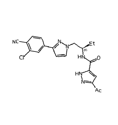 CC[C@H](Cn1ccc(-c2ccc(C#N)c(Cl)c2)n1)NC(=O)c1cc(C(C)=O)n[nH]1